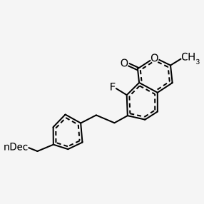 CCCCCCCCCCCc1ccc(CCc2ccc3cc(C)oc(=O)c3c2F)cc1